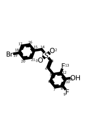 O=S(=O)(C=Cc1ccc(F)c(O)c1F)Cc1ccc(Br)cc1